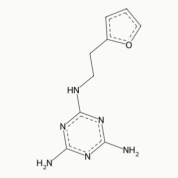 Nc1nc(N)nc(NCCc2ccco2)n1